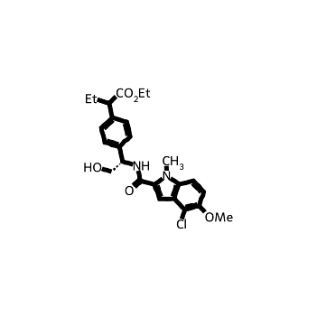 CCOC(=O)C(CC)c1ccc([C@@H](CO)NC(=O)c2cc3c(Cl)c(OC)ccc3n2C)cc1